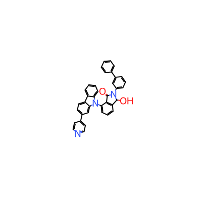 O=C1c2c(cccc2-n2c3ccccc3c3ccc(-c4ccncc4)cc32)C(O)N1c1cccc(-c2ccccc2)c1